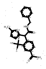 Cc1ccc(C(C(=O)NCc2ccccc2)c2ccc(C(N)=O)cc2C(F)(F)F)s1